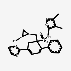 Cc1noc(NS(=O)(=O)C2(C[C@@H]3C[C@@H]3C(C)C)CC(c3ncco3)=CC=C2c2ccccc2)c1C